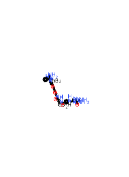 CCCCc1nc2c(N)nc3ccccc3c2n1CC(C)(C)COCCCOCCNC(=O)CCC(NC(=O)c1ccc(NCc2cnc3nc(N)[nH]c(=O)c3n2)cc1)C(=O)O